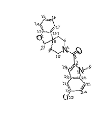 Cn1c(C(=O)N2CCC3(CC2)COc2ccccc23)cc2cc(Cl)ccc21